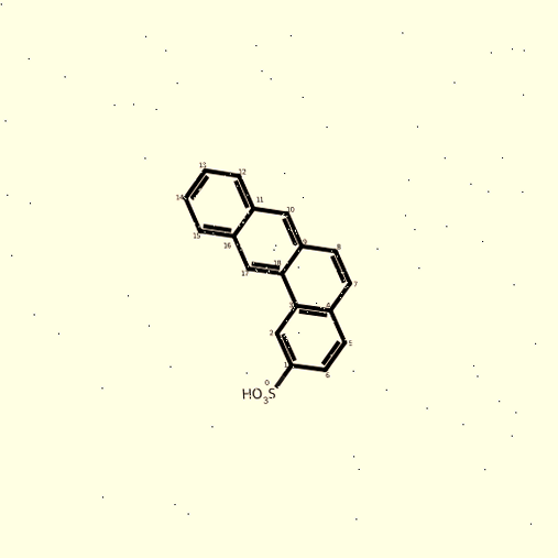 O=S(=O)(O)c1[c]c2c(cc1)ccc1cc3ccccc3cc12